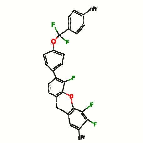 CCCc1ccc(C(F)(F)Oc2ccc(-c3ccc4c(c3F)Oc3c(cc(CCC)c(F)c3F)C4)cc2)cc1